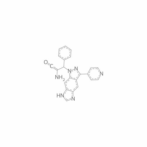 NC(=C=O)C(c1ccccc1)n1nc(-c2ccncc2)c2cc3nc[nH]c3cc21